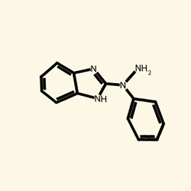 NN(c1ccccc1)c1nc2ccccc2[nH]1